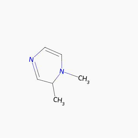 CC1C=NC=CN1C